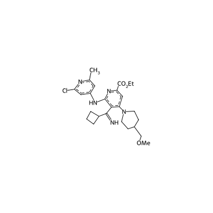 CCOC(=O)c1cc(N2CCC(COC)CC2)c(C(=N)C2CCC2)c(Nc2cc(C)nc(Cl)c2)n1